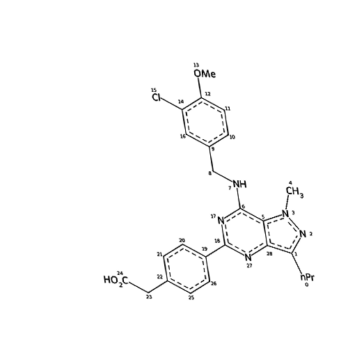 CCCc1nn(C)c2c(NCc3ccc(OC)c(Cl)c3)nc(-c3ccc(CC(=O)O)cc3)nc12